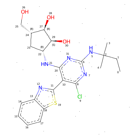 CCC(C)(C)Nc1nc(Cl)c(-c2nc3ccccc3s2)c(N[C@@H]2C[C@H](CO)[C@@H](O)[C@H]2O)n1